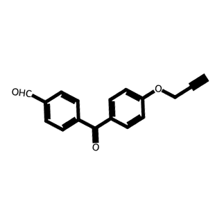 C#CCOc1ccc(C(=O)c2ccc(C=O)cc2)cc1